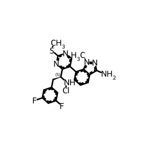 CSc1ncc(-c2cccc3c(N)nn(C)c23)c([C@H](Cc2cc(F)cc(F)c2)NCl)n1